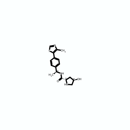 Cc1ncsc1-c1ccc([C@H](C)NC(=O)[C@@H]2C[C@@H](O)CN2)cc1